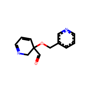 O=CC1(OCc2cccnc2)C=CC=NC1